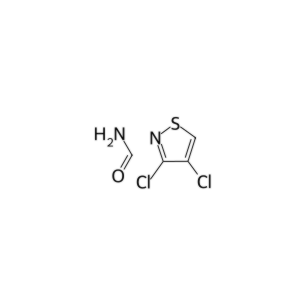 Clc1csnc1Cl.NC=O